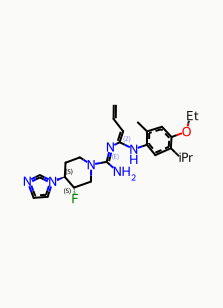 C=C/C=C(\N=C(/N)N1CC[C@H](n2ccnc2)[C@@H](F)C1)Nc1cc(C(C)C)c(OCC)cc1C